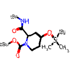 CC(C)(C)NC(=O)C1CC(O[Si](C)(C)C(C)(C)C)CCN1C(=O)OC(C)(C)C